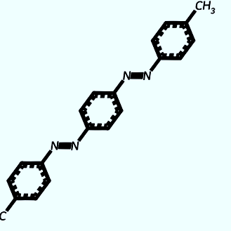 Cc1ccc(N=Nc2ccc(N=Nc3ccc(C)cc3)cc2)cc1